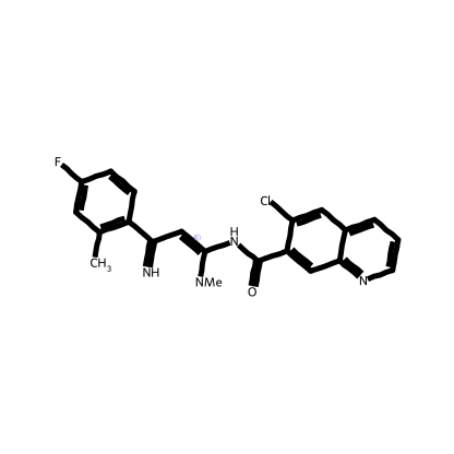 CN/C(=C\C(=N)c1ccc(F)cc1C)NC(=O)c1cc2ncccc2cc1Cl